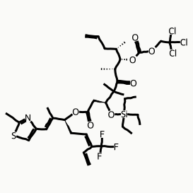 C=CC[C@H](C)[C@H](OC(=O)OCC(Cl)(Cl)Cl)[C@@H](C)C(=O)C(C)(C)[C@H](CC(=O)O[C@@H](C/C=C(\C=C)C(F)(F)F)/C(C)=C/c1csc(C)n1)O[Si](CC)(CC)CC